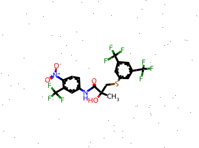 CC(O)(CSc1cc(C(F)(F)F)cc(C(F)(F)F)c1)C(=O)Nc1ccc([N+](=O)[O-])c(C(F)(F)F)c1